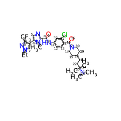 CCn1cc(-c2cnc(C(=O)Nc3ccc(C(=O)N4CCC(CCC(C)(C)N(C)C)CC4)c(Cl)c3)n2C)c(C(F)(F)F)n1